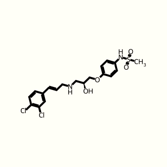 CS(=O)(=O)Nc1ccc(OC[C@@H](O)CNCC=Cc2ccc(Cl)c(Cl)c2)cc1